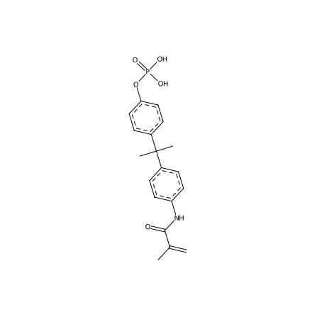 C=C(C)C(=O)Nc1ccc(C(C)(C)c2ccc(OP(=O)(O)O)cc2)cc1